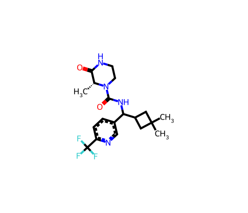 C[C@@H]1C(=O)NCCN1C(=O)NC(c1ccc(C(F)(F)F)nc1)C1CC(C)(C)C1